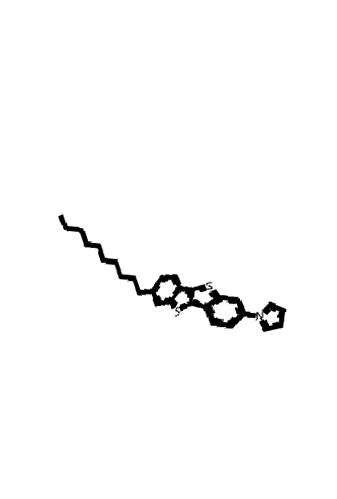 CCCCCCCCCCc1ccc2c(c1)sc1c3ccc(-n4cccc4)cc3sc21